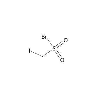 O=S(=O)(Br)CI